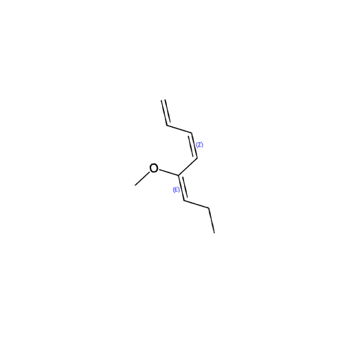 C=C/C=C\C(=C/CC)OC